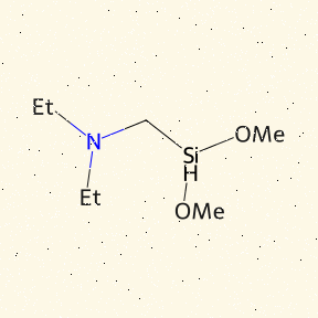 CCN(CC)C[SiH](OC)OC